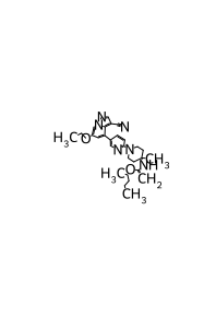 C=C(NC1(C)CCN(c2ccc(-c3cc(OCC)cn4ncc(C#N)c34)cn2)CC1)OC(C)CCC